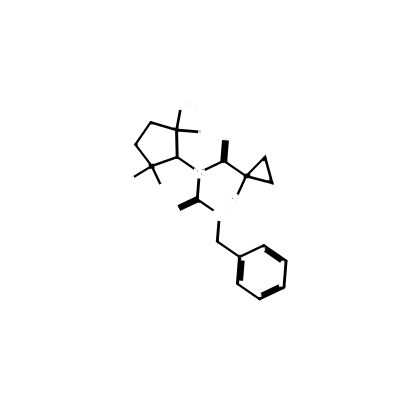 CC1(C)CCC(C)(C)C1N(C(=O)OCc1ccccc1)C(=O)C1(N)CC1